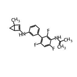 C=C(C)Nc1c(F)cc(F)c(-c2cccc(NC3=CC4(C)CC34)c2)c1F